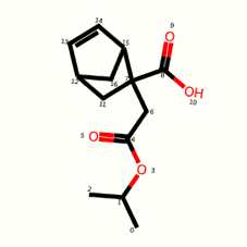 CC(C)OC(=O)CC1(C(=O)O)CC2C=CC1C2